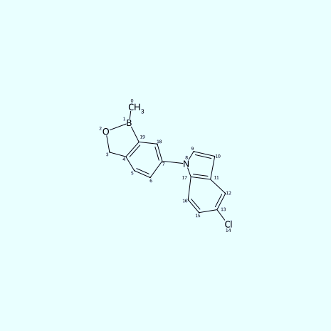 CB1OCc2ccc(-n3ccc4cc(Cl)ccc43)cc21